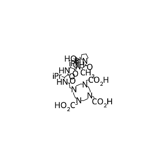 CC(C)C(NC(=O)CN1CCN(CC(=O)O)CCN(CC(=O)O)CCN(CC(=O)O)CC1)C(=O)N[C@H](C(=O)N[C@H](C)C(=O)N1CCC[C@H]1B(O)O)C(C)C